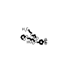 CCCCSC1CC(=O)N1C(C(=O)OCc1ccc([N+](=O)[O-])cc1)=C(O)CCOC1CCCCO1